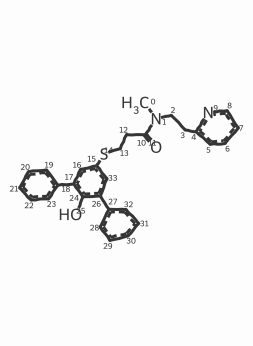 CN(CCc1ccccn1)C(=O)CCSc1cc(-c2ccccc2)c(O)c(-c2ccccc2)c1